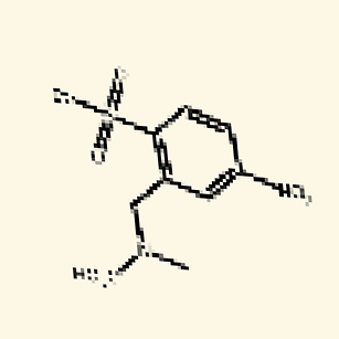 CCS(=O)(=O)c1ccc([N+](=O)[O-])cc1CN(C)C(=O)O